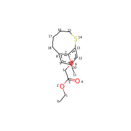 CCOC(=O)COc1c2cc(C)cc1SCCCC2